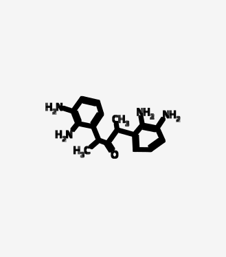 CC(C(=O)C(C)c1cccc(N)c1N)c1cccc(N)c1N